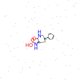 O=C(O)N[C@@H]1CC[C@H](c2ccccc2)CNC1=O